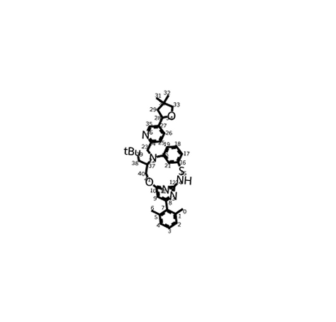 Cc1cccc(C)c1-c1cc2nc(n1)NSc1cccc(c1)N(Cc1ccc(C3CC(C)(C)CO3)cn1)C(CC(C)(C)C)CO2